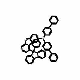 c1ccc(-c2ccc(N(c3ccc(-c4ccccc4)cc3)c3ccc4oc5cccc(C6(c7ccccc7)c7ccccc7-c7ccccc76)c5c4c3)cc2)cc1